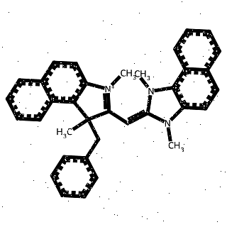 CN1/C(=C/C2=[N+](C)c3ccc4ccccc4c3C2(C)Cc2ccccc2)N(C)c2c1ccc1ccccc21